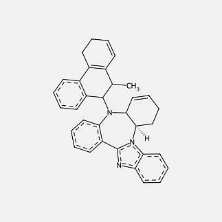 CC1C2=C(CCC=C2)c2ccccc2C1N1c2ccccc2-c2nc3ccccc3n2[C@@H]2CCC=CC21